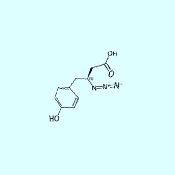 [N-]=[N+]=N[C@H](CC(=O)O)Cc1ccc(O)cc1